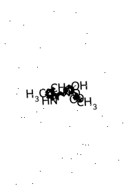 COC(=O)O[C@H]1CN(CCc2c[nH]c3cc(C)cc(C)c23)CC[C@@H]1O